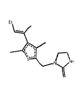 C=C1NCCN1Cc1sc(C)c(/C(C)=C/CC)c1C